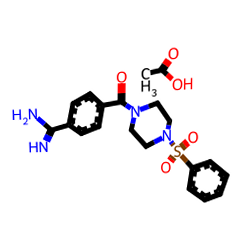 CC(=O)O.N=C(N)c1ccc(C(=O)N2CCN(S(=O)(=O)c3ccccc3)CC2)cc1